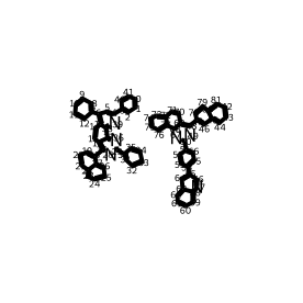 c1ccc(-c2cc(-c3ccccc3)c3ccc4c(-c5cccc6ccccc56)nc(-c5ccccc5)nc4c3n2)cc1.c1ccc2cc(-c3nc(-c4ccc(-c5cnc6ccccc6c5)cc4)nc4c3ccc3ccccc34)ccc2c1